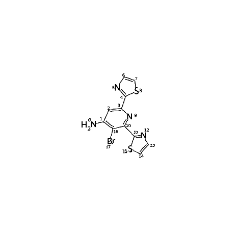 Nc1cc(-c2nccs2)nc(-c2nccs2)c1Br